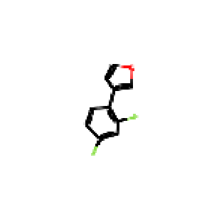 Fc1ccc(-c2c[c]oc2)c(F)c1